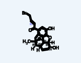 CN1C#C[C@]23c4c5c(C(=O)/C=C/CBr)cc(O)c4O[C@H]2[C@@H](O)C=C[C@H]3[C@H]1C5